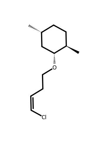 C[C@@H]1CC[C@@H](C)[C@H](OCC/C=C\Cl)C1